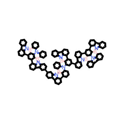 c1ccc2c(c1)B1c3c(cc4c5c3N2c2ccccc2B5n2c3ccc(-c5ccc6c7cccc8c7n(c6c5)B5c6cccc7c6N(c6cc(-c9cccc%10c9c9cccc%11c9n%10B9c%10c-%11cc%11c%12c%10-n%10c%13c(cccc%13c%13cccc9c%13%10)B%12n9c%10ccccc%10c%10cccc-%11c%109)cc9c6B7n6c7ccccc7c7cccc-9c76)c6cccc-8c65)cc3c3cccc-4c32)-c2cccc3c4ccccc4n1c23